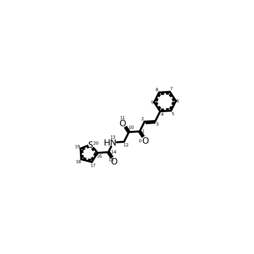 O=C(/C=C/c1ccccc1)C(=O)CNC(=O)c1cccs1